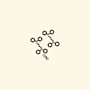 [Cl][Ni][Cl].c1ccc(P(CCCCP(c2ccccc2)c2ccccc2)c2ccccc2)cc1.c1ccc(P(CCCCP(c2ccccc2)c2ccccc2)c2ccccc2)cc1